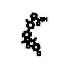 Cc1nn(C(C)c2ccc(Cl)cc2Cl)c2nc(C3=CCC(N4CCCC4C(=O)O)C(C)C3)cnc12